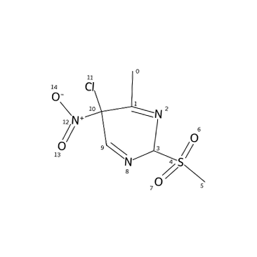 CC1=NC(S(C)(=O)=O)N=CC1(Cl)[N+](=O)[O-]